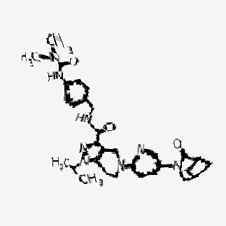 CC(C)n1nc(C(=O)NCc2ccc(NC(=O)N(C)C)cc2)c2c1CCN(c1ccc(N3CC4CC(C4)C3=O)cn1)C2